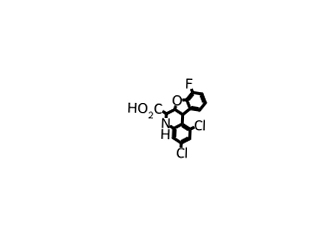 O=C(O)C1Nc2cc(Cl)cc(Cl)c2C2c3cccc(F)c3OC12